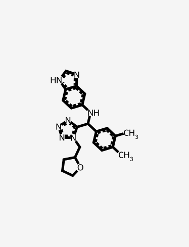 Cc1ccc(C(Nc2ccc3[nH]cnc3c2)c2nnnn2CC2CCCO2)cc1C